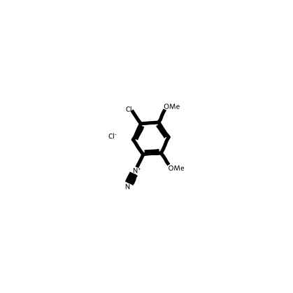 COc1cc(OC)c([N+]#N)cc1Cl.[Cl-]